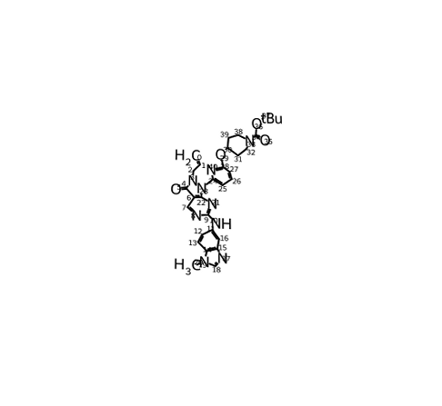 C=CCn1c(=O)c2cnc(Nc3ccc4c(c3)ncn4C)nc2n1-c1cccc(OC2CCN(C(=O)OC(C)(C)C)CC2)n1